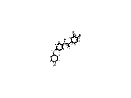 CN1CCC(Sc2ccc(NC(=O)c3ccc(F)c(F)c3)cn2)CC1